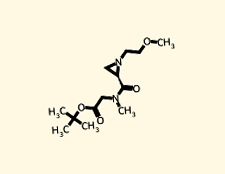 COCCN1C[C@@H]1C(=O)N(C)CC(=O)OC(C)(C)C